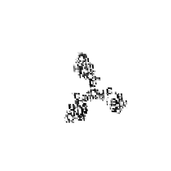 COCCN(CCCC(=O)ON1C(=O)CCC1=O)c1cc(COc2cc3c(cc2C)C(=O)N2c4ccccc4C[C@H]2C=N3)cc(COc2cc3c(cc2OC)C(=O)N2c4ccccc4C[C@H]2C=N3)c1